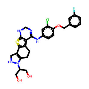 OCC(CO)N1NCC2=C1CCc1c2sc2c1C(Nc1ccc(OCc3cccc(F)c3)c(Cl)c1)=NCN2